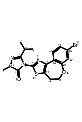 CC(C)c1nn(C)c(=O)n1-c1nc2c(s1)CCOc1cc(Br)ccc1-2